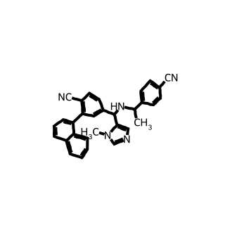 CC(NC(c1ccc(C#N)c(-c2cccc3ccccc23)c1)c1cncn1C)c1ccc(C#N)cc1